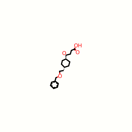 O=C(O)CCC(=O)[C@H]1CC[C@H](CCOCc2ccccc2)CC1